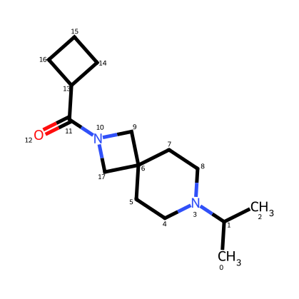 CC(C)N1CCC2(CC1)CN(C(=O)C1CCC1)C2